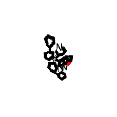 c1ccc(-c2cccc([Si](c3cccnc3)(c3cccnc3)c3cccc4c5ccccc5n(-c5ccccc5)c34)c2)cc1